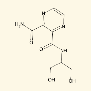 NC(=O)c1nccnc1C(=O)NC(CO)CO